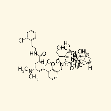 COc1c(CN2OC(CO)[C@@H]([C@H](C)O)[C@H]2C(=O)N[C@H]2C[C@H]3C[C@@H]([C@@H]2C)C3(C)C)cccc1-c1cc(C(=O)NCCc2ccccc2Cl)cc(N(C)C)c1